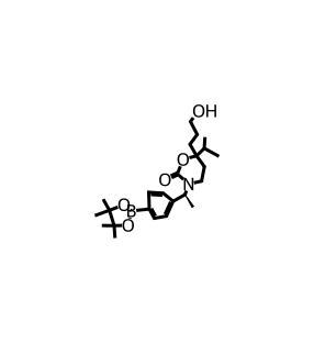 CC(C)C1(CCCO)CCN([C@@H](C)c2ccc(B3OC(C)(C)C(C)(C)O3)cc2)C(=O)O1